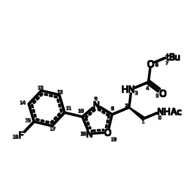 CC(=O)NC[C@H](NC(=O)OC(C)(C)C)c1nc(-c2cccc(F)c2)no1